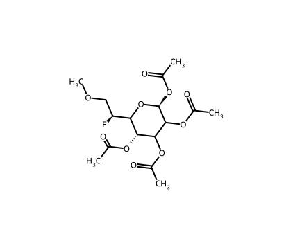 COC[C@H](F)C1O[C@@H](OC(C)=O)C(OC(C)=O)C(OC(C)=O)[C@@H]1OC(C)=O